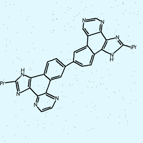 CC(C)c1nc2c3ncncc3c3cc(-c4ccc5c(c4)c4nccnc4c4nc(C(C)C)[nH]c54)ccc3c2[nH]1